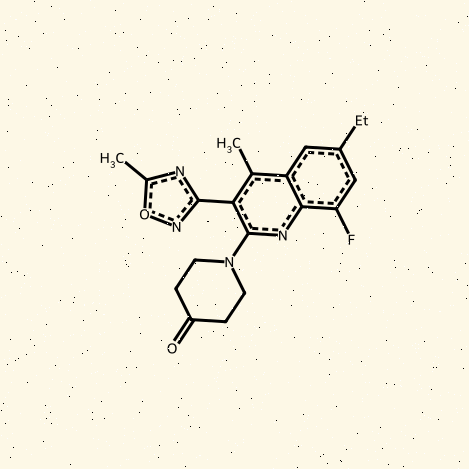 CCc1cc(F)c2nc(N3CCC(=O)CC3)c(-c3noc(C)n3)c(C)c2c1